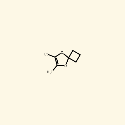 CCC1=C(C)OC2(CCC2)O1